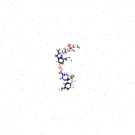 Cc1nc2cc(OCCN3CCC4(CC3)C(=O)Nc3ccc(Cl)cc34)cc(C(F)(F)F)c2n1C1CN(S(C)(=O)=O)C1